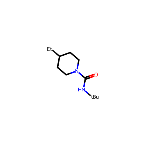 CCC1CCN(C(=O)NC(C)(C)C)CC1